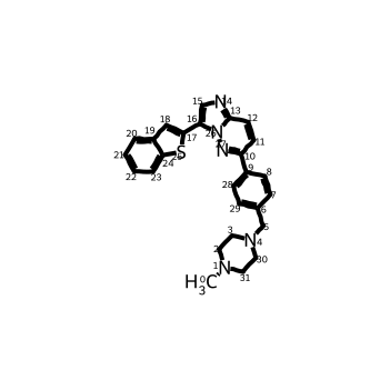 CN1CCN(Cc2ccc(-c3ccc4ncc(-c5cc6ccccc6s5)n4n3)cc2)CC1